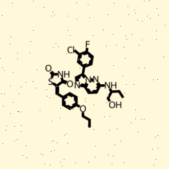 CCC(CO)Nc1ccc2ncc(-c3ccc(F)c(Cl)c3)n2n1.CCCOc1ccc(/C=C2/SC(=O)NC2=O)cc1